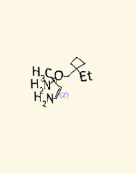 CCC1(CO[C@@](C)(N)/C=C\N)CCC1